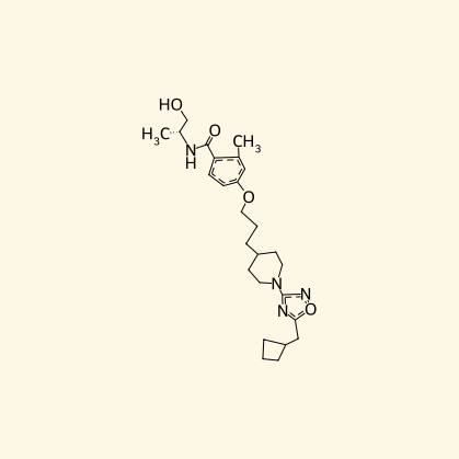 Cc1cc(OCCCC2CCN(c3noc(CC4CCC4)n3)CC2)ccc1C(=O)N[C@H](C)CO